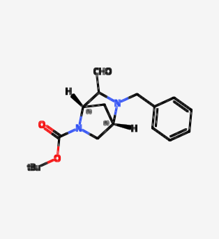 CC(C)(C)OC(=O)N1C[C@@H]2C[C@H]1C(C=O)N2Cc1ccccc1